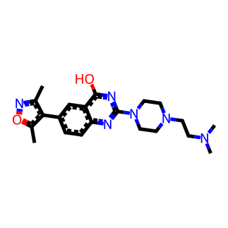 Cc1noc(C)c1-c1ccc2nc(N3CCN(CCN(C)C)CC3)nc(O)c2c1